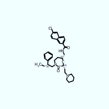 CC[C@@H](CN1CC[C@H](CNC(=O)c2ccc3cc(Cl)ccc3c2)C[C@H](CCN2CCCCC2)[N+]1=O)c1ccccc1